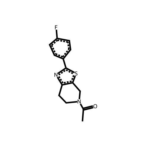 CC(=O)N1CCc2nc(-c3ccc(F)cc3)sc2C1